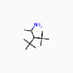 CC(N)C(C(C)(C)C)C(C)(C)C